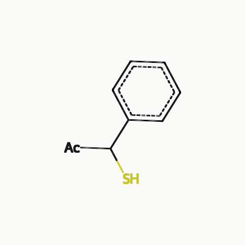 CC(=O)C(S)c1ccccc1